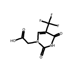 O=C(O)Cn1cc(C(F)(F)F)c(=O)[nH]c1=O